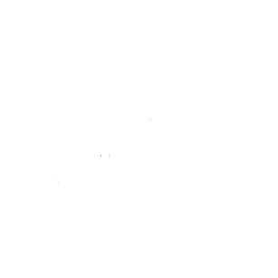 C[Si](C)(COCO)c1ccccc1